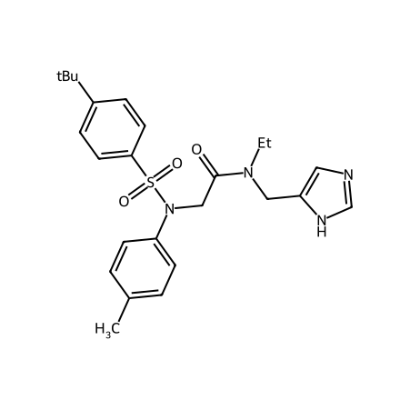 CCN(Cc1cnc[nH]1)C(=O)CN(c1ccc(C)cc1)S(=O)(=O)c1ccc(C(C)(C)C)cc1